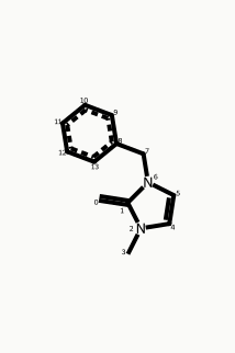 C=C1N(C)C=CN1Cc1ccccc1